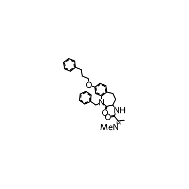 CN[C@@H](C)C(=O)NC1CCc2ccc(OCCCc3ccccc3)cc2N(Cc2ccccc2)C1=O